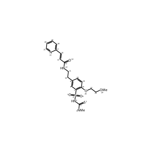 CNC(=S)NS(=O)(=O)c1cc(CCNC(=O)C=Cc2ccccn2)ccc1OCCOC